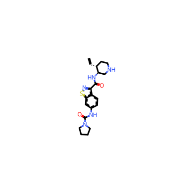 C=C[C@@H]1CCNC[C@H]1NC(=O)c1nsc2cc(NC(=O)N3CCCC3)ccc12